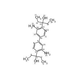 CCC(O)(CC)c1ccc(-c2cnc(C(O)(CC)CC)c(N)c2)cc1N